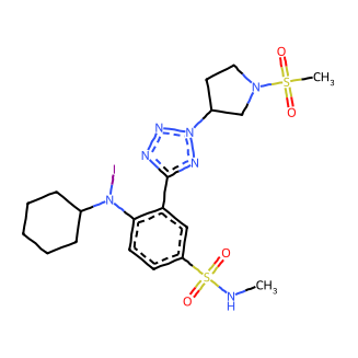 CNS(=O)(=O)c1ccc(N(I)C2CCCCC2)c(-c2nnn(C3CCN(S(C)(=O)=O)C3)n2)c1